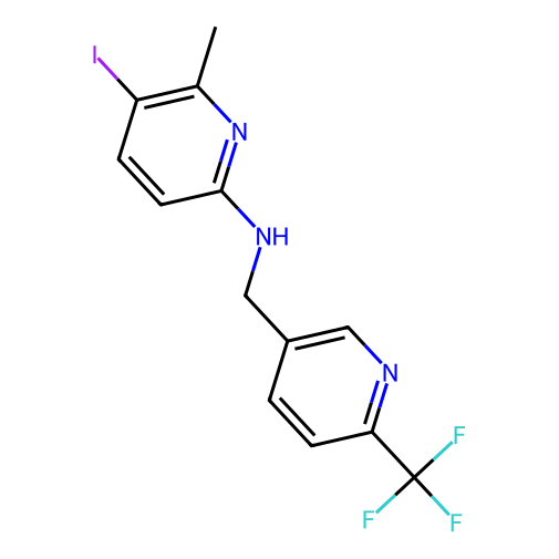 Cc1nc(NCc2ccc(C(F)(F)F)nc2)ccc1I